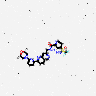 C[C@@H]1CN(c2cccc(-c3ccc4cnc(CNC(=O)c5cc(S(=N)(=O)C(F)F)ccn5)cc4n3)n2)C[C@H](C)O1